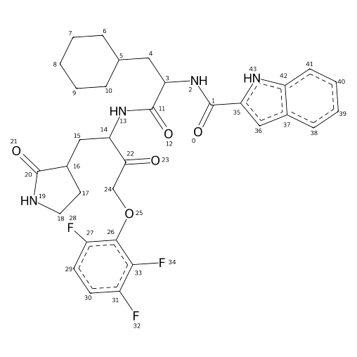 O=C(NC(CC1CCCCC1)C(=O)NC(CC1CCNC1=O)C(=O)COc1c(F)ccc(F)c1F)c1cc2ccccc2[nH]1